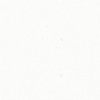 CC(C)Cc1ccccc1C(=O)ON1C(=O)CCC1=O